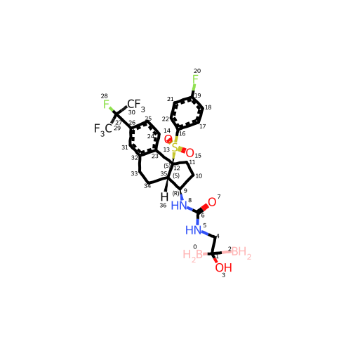 BC(B)(O)CNC(=O)N[C@@H]1CC[C@@]2(S(=O)(=O)c3ccc(F)cc3)c3ccc(C(F)(C(F)(F)F)C(F)(F)F)cc3CC[C@@H]12